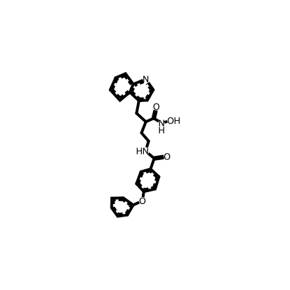 O=C(NCCC(Cc1ccnc2ccccc12)C(=O)NO)c1ccc(Oc2ccccc2)cc1